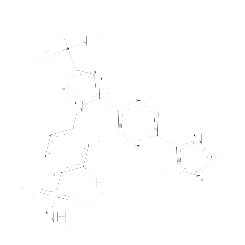 NS(=O)(=O)c1ccc(-n2cc(C(F)(F)F)nc2-c2ccc(-c3nccs3)cc2)cc1F